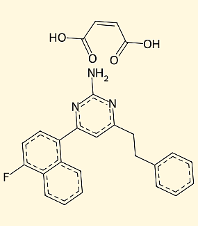 Nc1nc(CCc2ccccc2)cc(-c2ccc(F)c3ccccc23)n1.O=C(O)/C=C\C(=O)O